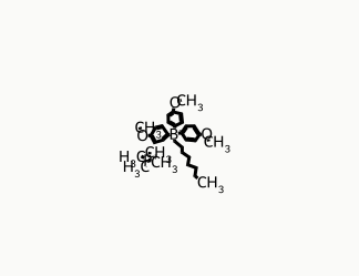 CCCCCCCC[B-](c1ccc(OC)cc1)(c1ccc(OC)cc1)c1ccc(OC)cc1.C[P+](C)(C)C